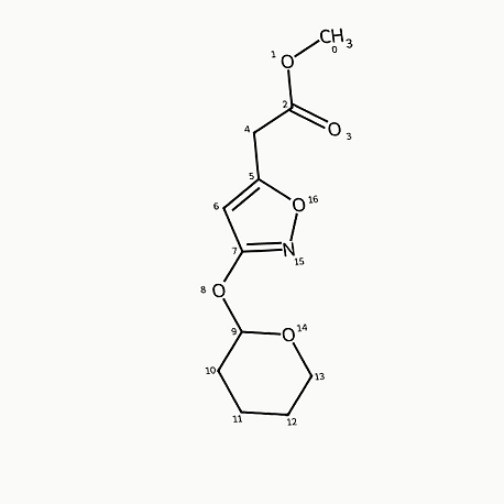 COC(=O)Cc1cc(OC2CCCCO2)no1